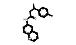 Cc1ccc(C(C)CC(=O)Nc2ccc3ncccc3c2)cc1